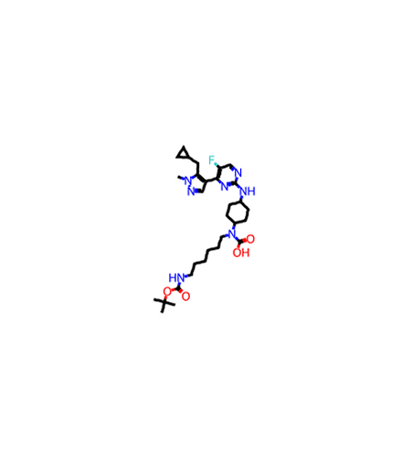 Cn1ncc(-c2nc(NC3CCC(N(CCCCCCNC(=O)OC(C)(C)C)C(=O)O)CC3)ncc2F)c1CC1CC1